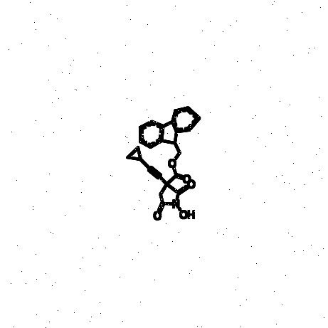 O=C1CC(C#CC2CC2)(C(=O)OCC2c3ccccc3-c3ccccc32)C(=O)N1O